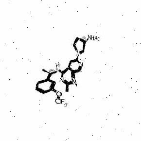 CC(=O)N[C@@H]1CCN(c2cc3c(N[C@H](C)c4cccc(OC(F)(F)F)c4)nc(C)nc3cn2)C1